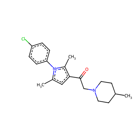 Cc1cc(C(=O)CN2CCC(C)CC2)c(C)n1-c1ccc(Cl)cc1